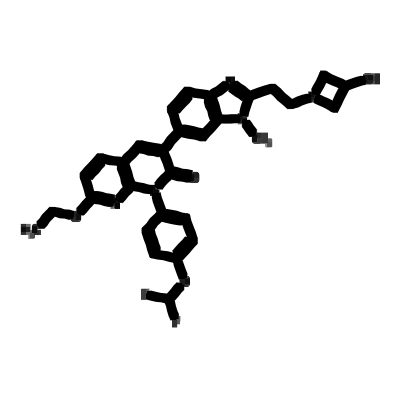 CCOc1ccc2cc(-c3ccc4nc(CCN5CC(O)C5)n(C)c4c3)c(=O)n(-c3ccc(OC(F)F)cc3)c2n1